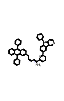 N/C(=C\C=C/Cc1ccc2c(-c3ccccc3)c3ccccc3c(-c3ccccc3)c2c1)C1=CCCC(c2ccc3c(c2)c2cnccc2n3-c2ccccc2)=N1